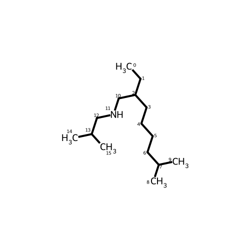 CCC(CCCCC(C)C)CNCC(C)C